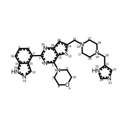 c1cc(-c2nc(N3CCOCC3)c3sc(CN4CCN(Cc5cnc[nH]5)CC4)cc3n2)c2cn[nH]c2c1